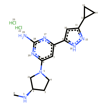 CN[C@@H]1CCN(c2cc(-c3cc(C4CC4)n[nH]3)nc(N)n2)C1.Cl.Cl